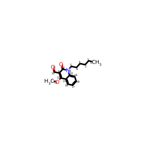 CCCCCCn1c(=O)c(C=O)c(OC)c2ccccc21